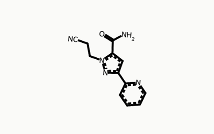 N#CCCn1nc(-c2ccccn2)cc1C(N)=O